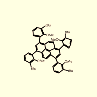 COc1c(-c2cc(-c3cccc(C(C)(C)C)c3OC)c3ccc4c(-c5cccc(C(C)(C)C)c5OC)cc(-c5cccc(C(C)(C)C)c5OC)c5ccc2c3c54)cccc1C(C)(C)C